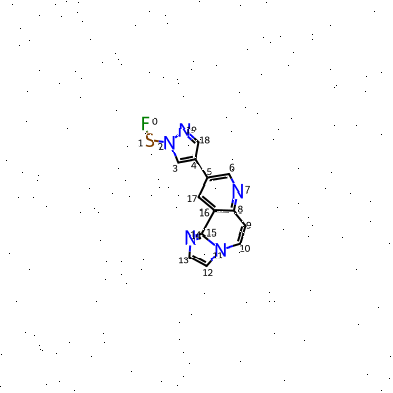 FSn1cc(-c2cnc3ccn4ccnc4c3c2)cn1